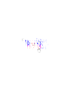 CCn1nnc([C@H]2O[C@@H](n3cnc4c(N)nc(NC5CC6CCC5C6)nc43)[C@H](O)[C@@H]2O)n1